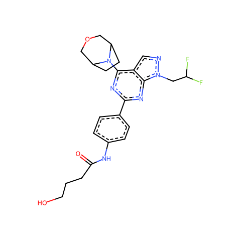 O=C(CCCO)Nc1ccc(-c2nc(N3C4CCC3COC4)c3cnn(CC(F)F)c3n2)cc1